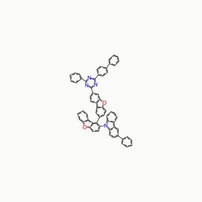 c1ccc(-c2ccc(-c3nc(-c4ccccc4)nc(-c4ccc5c(c4)oc4ccc(-c6c(-n7c8ccccc8c8cc(-c9ccccc9)ccc87)ccc7oc8ccccc8c67)cc45)n3)cc2)cc1